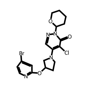 O=c1c(Cl)c(N2CCC(Oc3cc(Br)ccn3)C2)cnn1C1CCCCO1